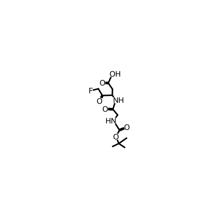 CC(C)(C)OC(=O)NCC(=O)NC(CC(=O)O)C(=O)CF